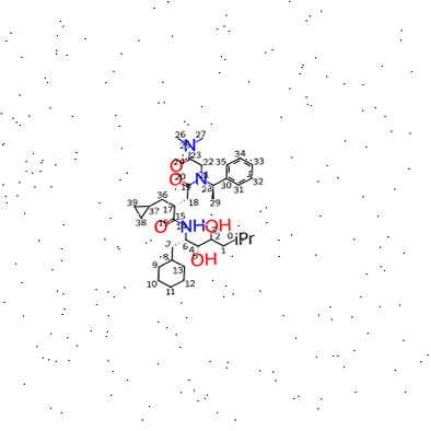 CC(C)C[C@H](O)[C@H](O)[C@H](CC1CCCCC1)NC(=O)[C@@H](CC(=O)N(CC(=O)N(C)C)[C@H](C)c1ccccc1)CC1CC1